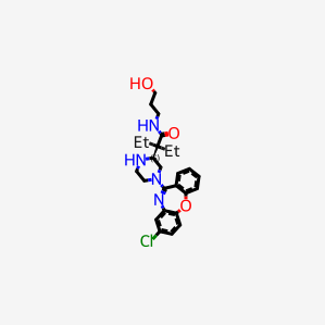 CCC(CC)(C(=O)NCCCO)[C@H]1CN(C2=Nc3cc(Cl)ccc3Oc3ccccc32)CCN1